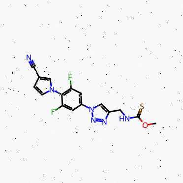 COC(=S)NCc1cn(-c2cc(F)c(-n3ccc(C#N)c3)c(F)c2)nn1